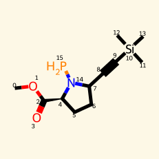 COC(=O)[C@@H]1CCC(C#C[Si](C)(C)C)N1P